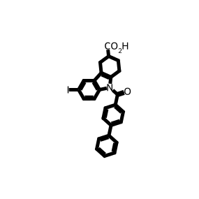 O=C(O)C1CCc2c(c3cc(I)ccc3n2C(=O)c2ccc(-c3ccccc3)cc2)C1